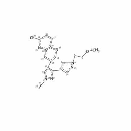 COCCn1cc(-c2nn(C)cc2-c2cnc3ccc(Cl)nc3c2)cn1